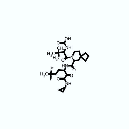 CC(F)(F)CCC(NC(=O)C1CC2(CCC2)CCN1C(=O)C(NC(=O)O)C(C)(C)C)C(=O)C(=O)NC1CC1